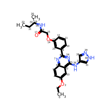 CCOc1ccc2nc(-c3cccc(OCC(=O)N[C@@H](C)CC)c3)nc(Nc3cn[nH]c3)c2c1